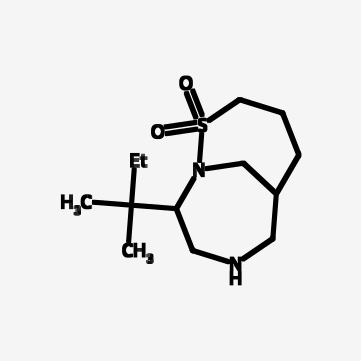 CCC(C)(C)C1CNCC2CCCS(=O)(=O)N1C2